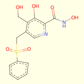 O=C(NO)c1ncc(CS(=O)(=O)c2ccccc2)c(CO)c1O